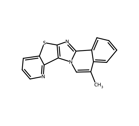 Cc1cn2c(nc3sc4cccnc4c32)c2ccccc12